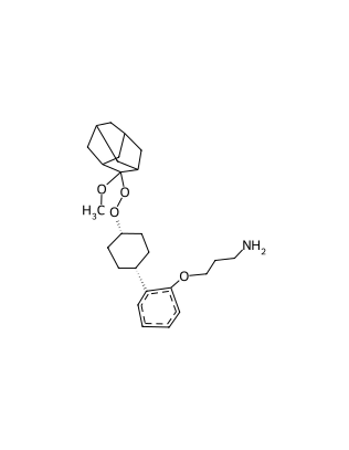 COC1(OO[C@H]2CC[C@@H](c3ccccc3OCCCN)CC2)C2CC3CC(C2)CC1C3